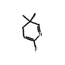 CC1(C)C=NC(F)=CC1